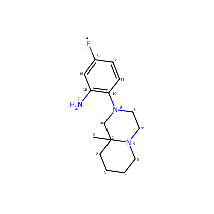 CC12CCCCN1CCN(c1ccc(F)cc1N)C2